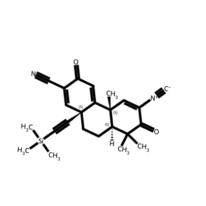 [C-]#[N+]C1=C[C@@]2(C)C3=CC(=O)C(C#N)=C[C@@]3(C#C[Si](C)(C)C)CC[C@@H]2C(C)(C)C1=O